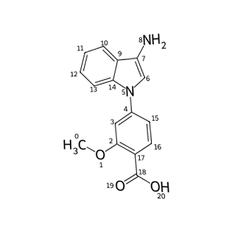 COc1cc(-n2cc(N)c3ccccc32)ccc1C(=O)O